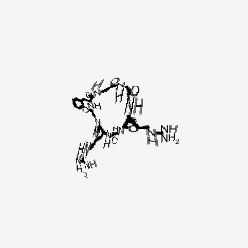 N=C(N)NCCCC1NC(=O)CNC(=O)CNC(=O)C(Cc2ccccc2)NC(=O)CNC(=O)C(CCCNC(=N)N)NC(=O)CNC1=O